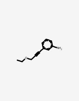 CCOCC#Cc1cccc(N)c1